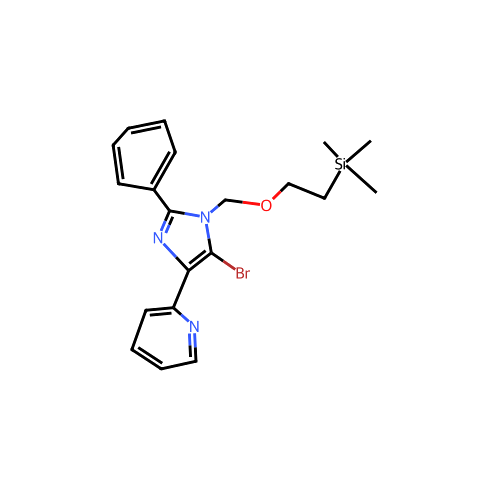 C[Si](C)(C)CCOCn1c(-c2ccccc2)nc(-c2ccccn2)c1Br